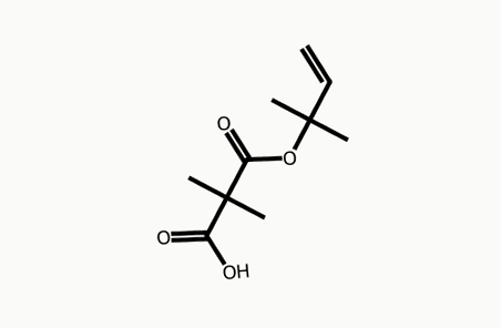 C=CC(C)(C)OC(=O)C(C)(C)C(=O)O